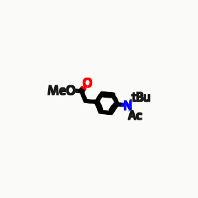 COC(=O)Cc1ccc(N(C(C)=O)C(C)(C)C)cc1